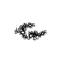 COC(=O)c1cc(OC2CN(Cc3ccc(NS(=O)(=O)c4cnn(-c5ccc(F)cc5)c4)c(Br)c3)C2)ccc1NS(=O)(=O)c1cnn(-c2ccc(F)cc2)c1